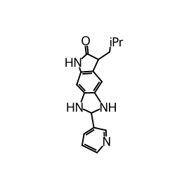 CC(C)CC1C(=O)Nc2cc3c(cc21)NC(c1cccnc1)N3